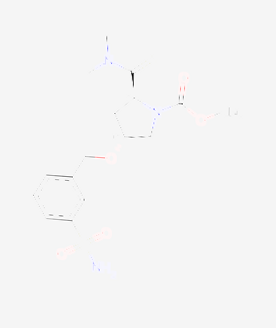 CN(C)C(=S)[C@@H]1C[C@@H](OCc2cccc(S(N)(=O)=O)c2)CN1C(=O)OC(C)(C)C